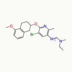 CCN(C)/C=N/c1cc(Br)c(OC2CCc3c(cccc3OC)C2)nc1C